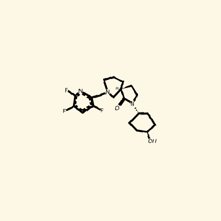 O=C1N([C@H]2CC[C@H](O)CC2)CC[C@@]12CCCN(c1nc(F)c(F)cc1F)C2